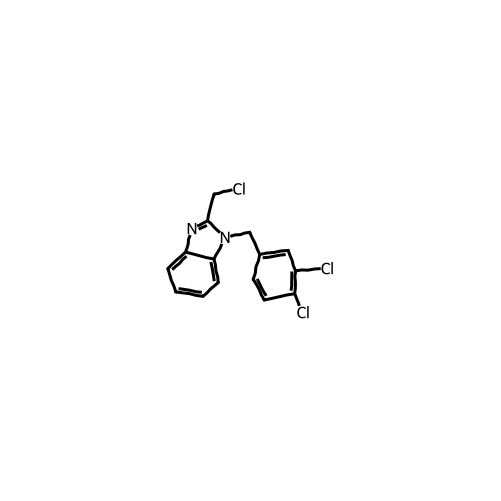 ClCc1nc2ccccc2n1Cc1ccc(Cl)c(Cl)c1